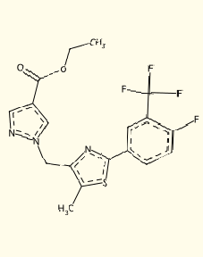 CCOC(=O)c1cnn(Cc2nc(-c3ccc(F)c(C(F)(F)F)c3)sc2C)c1